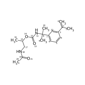 C=C(C)c1cccc(C(C)(C)NC(=O)OC(C)CNC(C)=O)c1